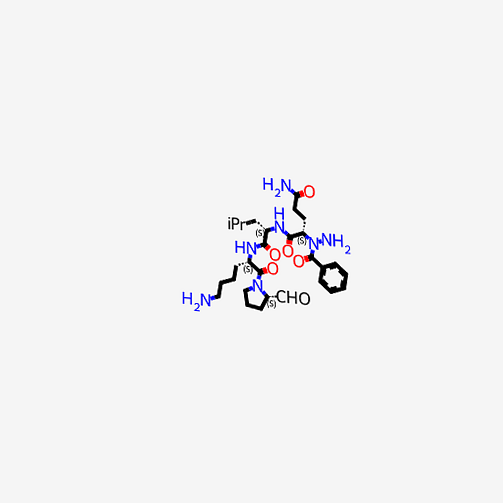 CC(C)C[C@H](NC(=O)[C@H](CCC(N)=O)N(N)C(=O)c1ccccc1)C(=O)N[C@@H](CCCCN)C(=O)N1CCC[C@H]1C=O